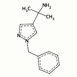 CC(C)(N)c1cnn(Cc2ccccc2)c1